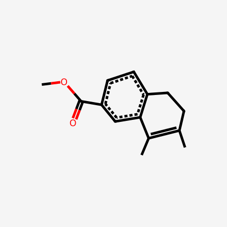 COC(=O)c1ccc2c(c1)C(C)=C(C)CC2